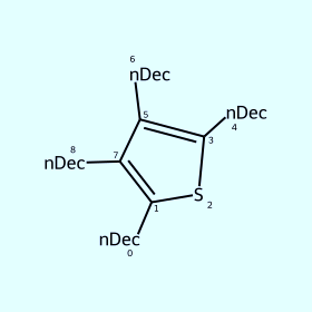 CCCCCCCCCCc1sc(CCCCCCCCCC)c(CCCCCCCCCC)c1CCCCCCCCCC